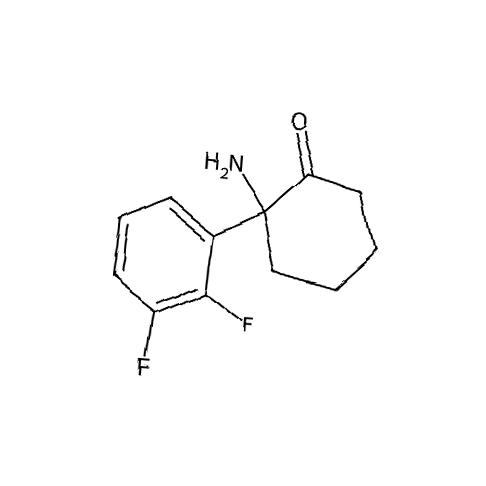 NC1(c2cccc(F)c2F)CCCCC1=O